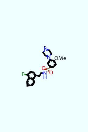 COc1ccc(S(=O)(=O)NCCc2ccc(F)c3ccccc23)cc1N1CCN(C)CC1